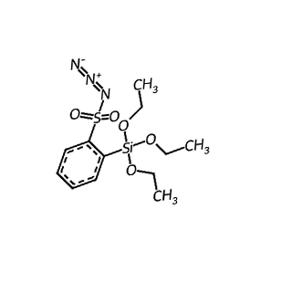 CCO[Si](OCC)(OCC)c1ccccc1S(=O)(=O)N=[N+]=[N-]